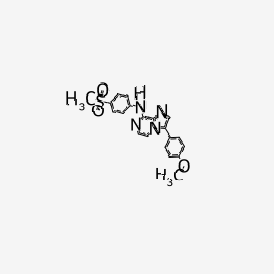 COc1ccc(-c2cnc3c(Nc4ccc(S(C)(=O)=O)cc4)nccn23)cc1